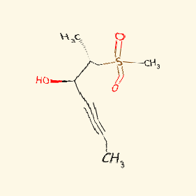 CC#C[C@@H](O)[C@H](C)S(C)(=O)=O